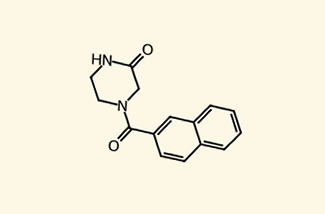 O=C1CN(C(=O)c2ccc3ccccc3c2)CCN1